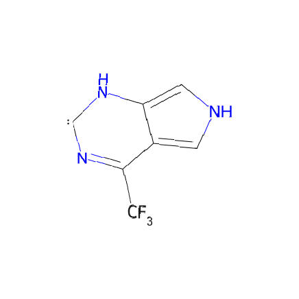 FC(F)(F)C1=N[C]Nc2c[nH]cc21